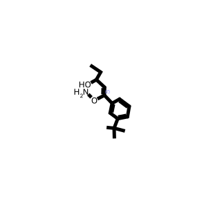 CCC(O)/C=C(\ON)c1cccc(C(C)(C)C)c1